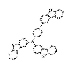 c1ccc2c(c1)oc1ccc(-c3ccc(N(c4ccc5sc6ccccc6c5c4)c4ccc5sc6ccccc6c5c4)cc3)cc12